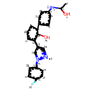 CC(O)Nc1ccc(-c2cccc(-c3cnn(-c4ccc(F)cc4)c3)c2O)cc1